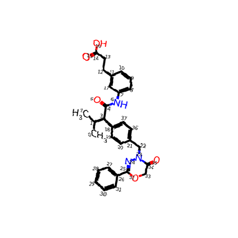 CC(C)C(C(=O)Nc1cccc(CCC(=O)O)c1)c1ccc(CN2N=C(c3ccccc3)OCC2=O)cc1